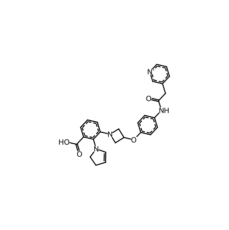 O=C(Cc1cccnc1)Nc1ccc(OC2CN(c3cccc(C(=O)O)c3N3C=CCC3)C2)cc1